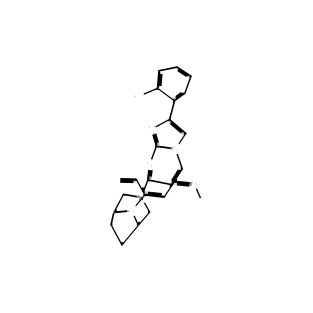 C=C/C(=C\C=N/C)N1C2CCC1CN(c1ccn3cc(-c4ccccc4O)nc3n1)C2